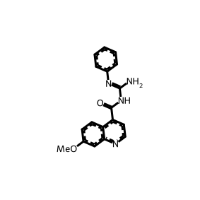 COc1ccc2c(C(=O)NC(N)=Nc3ccccc3)ccnc2c1